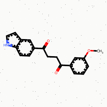 COc1cccc(C(=O)CCC(=O)c2ccc3[nH]ccc3c2)c1